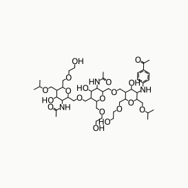 CC(=O)NC1C(COCC2C(COCCO)OC(COC(C)C)C(Nc3ccc(C(C)=O)cc3)C2O)OC(COCCO)C(COCC2OC(COCCO)C(COC(C)C)C(O)C2NC(C)=O)C1O